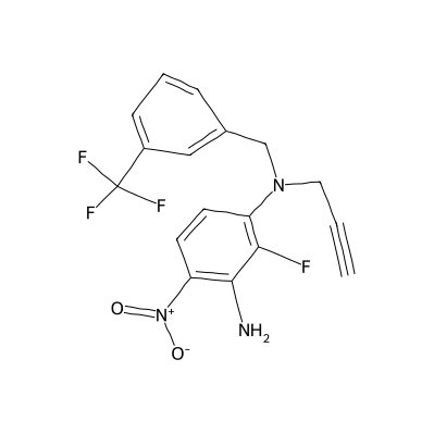 C#CCN(Cc1cccc(C(F)(F)F)c1)c1ccc([N+](=O)[O-])c(N)c1F